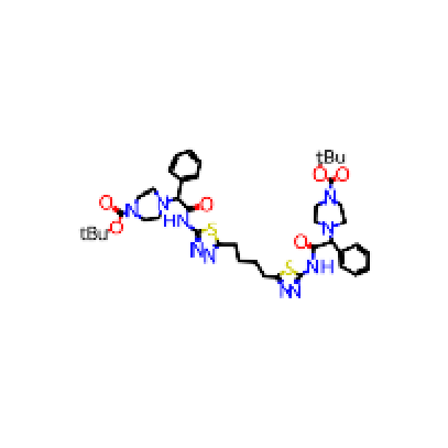 CC(C)(C)OC(=O)N1CCN(C(C(=O)Nc2nnc(CCCCc3nnc(NC(=O)C(c4ccccc4)N4CCN(C(=O)OC(C)(C)C)CC4)s3)s2)c2ccccc2)CC1